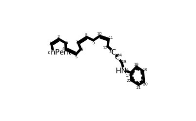 CCCCC/C=C\C/C=C\C/C=C\C/C=C\CCCCNc1ccccc1